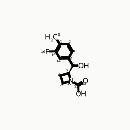 Cc1ccc(C(O)[C@@H]2CCN2C(=O)O)cc1F